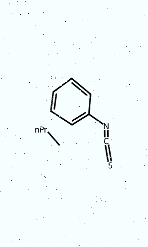 CCCC.S=C=Nc1ccccc1